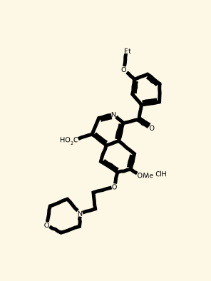 CCOc1cccc(C(=O)c2ncc(C(=O)O)c3cc(OCCN4CCOCC4)c(OC)cc23)c1.Cl